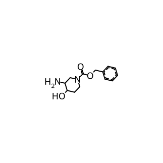 NC1CN(C(=O)OCc2ccccc2)CCC1O